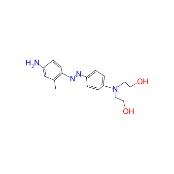 Cc1cc(N)ccc1N=Nc1ccc(N(CCO)CCO)cc1